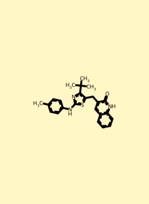 Cc1ccc(Nc2nc(C(C)(C)C)c(Cc3cc4ccccc4[nH]c3=O)s2)cc1